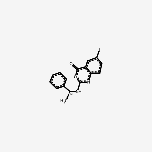 C[C@H](Nc1nc2ccc(I)cc2c(=O)o1)c1ccccc1